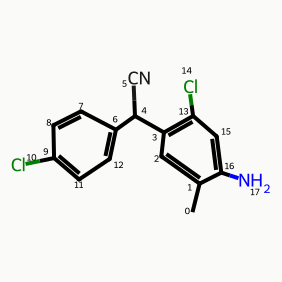 Cc1cc(C(C#N)c2ccc(Cl)cc2)c(Cl)cc1N